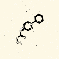 COC(=O)/N=c1/ccn(-c2ccccc2)nc1